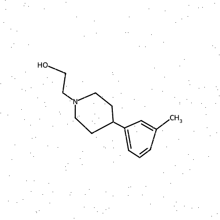 Cc1cccc(C2CCN(CCO)CC2)c1